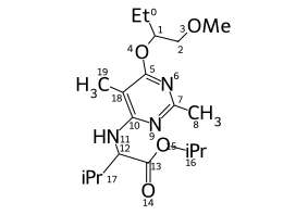 CCC(COC)Oc1nc(C)nc(NC(C(=O)OC(C)C)C(C)C)c1C